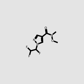 CON(C)C(=O)c1cnn(C(F)C(F)F)c1